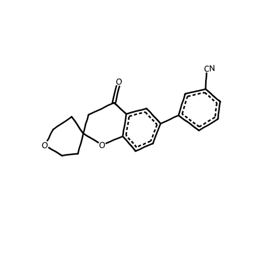 N#Cc1cccc(-c2ccc3c(c2)C(=O)CC2(CCOCC2)O3)c1